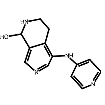 OC1NCCc2c(Nc3ccncc3)cncc21